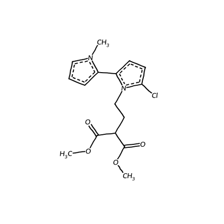 COC(=O)C(CCn1c(Cl)ccc1-c1cccn1C)C(=O)OC